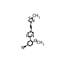 COc1ccc(C#N)cc1-c1ncc(C#Cc2csc(C)n2)cn1